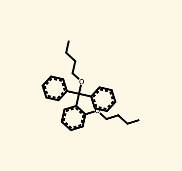 CCCCOc1ccccc1C(OCCCC)(c1ccccc1)c1ccccc1